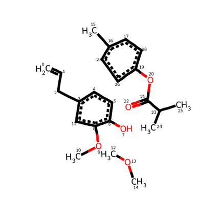 C=CCc1ccc(O)c(OC)c1.COC.Cc1ccc(OC(=O)C(C)C)cc1